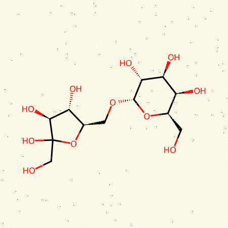 OC[C@H]1O[C@H](OC[C@H]2OC(O)(CO)[C@@H](O)[C@@H]2O)[C@H](O)[C@@H](O)[C@H]1O